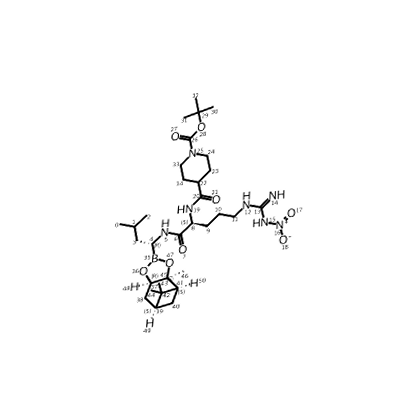 CC(C)C[C@H](NC(=O)[C@H](CCCNC(=N)N[N+](=O)[O-])NC(=O)C1CCN(C(=O)OC(C)(C)C)CC1)B1O[C@@H]2C[C@@H]3C[C@@H](C3(C)C)[C@]2(C)O1